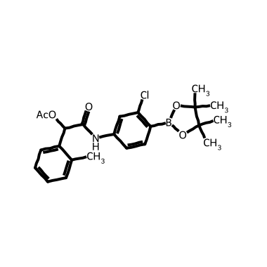 CC(=O)OC(C(=O)Nc1ccc(B2OC(C)(C)C(C)(C)O2)c(Cl)c1)c1ccccc1C